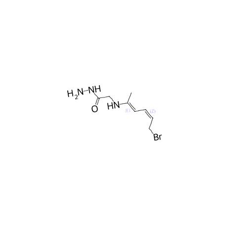 C/C(=C\C=C/CBr)NCC(=O)NN